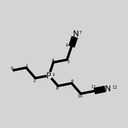 CCCP(CCC#N)CCCC#N